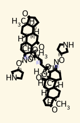 CC1(C)/C(=N/O[C@@H]2CCNC2)CC[C@]2(C)[C@@H]3CC[C@]4(C)C(=O)CC[C@H]4[C@@H]3CC(=O)C12OC(=O)/C=C/C(=O)OC12C(=O)C[C@@H]3[C@@H](CC[C@]4(C)C(=O)CC[C@@H]34)[C@@]1(C)CC/C(=N\O[C@@H]1CCNC1)C2(C)C